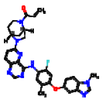 C=CC(=O)N1CC[C@@H]2C[C@H]1CN2c1ccc2ncnc(Nc3cc(C)c(Oc4ccc5c(c4)ncn5C)cc3F)c2n1